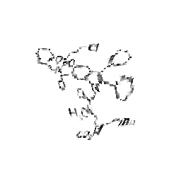 CN(CCN(CC(C)(C)C)C(=O)O)C(=O)Cn1c(-c2ccccc2)c(C2CCCCC2)c2ccc(C(=O)N(Cc3ccccc3)S(=O)(=O)CCCCl)cc21